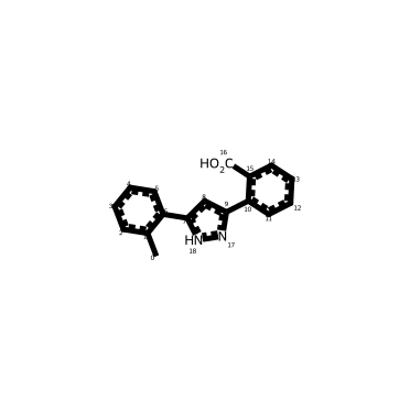 Cc1ccccc1-c1cc(-c2ccccc2C(=O)O)n[nH]1